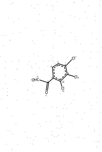 O=CC(=O)c1ccc(Cl)c(Cl)c1Cl